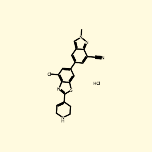 Cl.Cn1cc2cc(-c3cc(Cl)c4nc(C5=CCNCC5)sc4c3)cc(C#N)c2n1